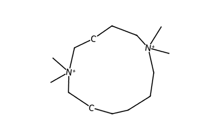 C[N+]1(C)CCCCCC[N+](C)(C)CCCC1